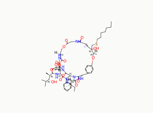 CCCCCCCSC[C@@]1(O)/C=C/C(=O)NCC(=O)OC[C@@H]2NC(=O)[C@@H]([C@@H](C)O)NC(=O)[C@H](Cc3ccccc3)N(C)C(=O)C(NC(=O)[C@@H]([C@@H](C)CC)NC(=O)[C@@H](NC(=O)[C@H](C)[C@H](O)C(C)C)[C@@H](C)OC2=O)c2ccc(cc2)O[C@@H]1C